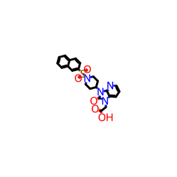 O=C(O)Cn1c(=O)n(C2CCN(S(=O)(=O)c3ccc4ccccc4c3)CC2)c2ncccc21